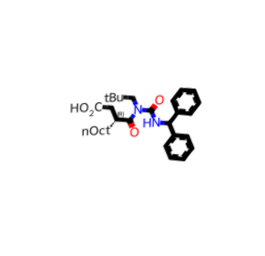 CCCCCCCC[C@H](CC(=O)O)C(=O)N(CC(C)(C)C)C(=O)NC(c1ccccc1)c1ccccc1